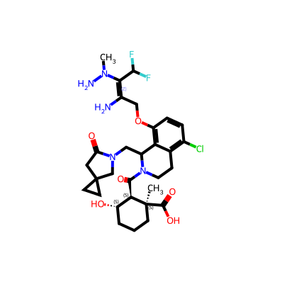 CN(N)/C(=C(\N)COc1ccc(Cl)c2c1C(CN1CC3(CC3)CC1=O)N(C(=O)[C@@H]1[C@@H](O)CCC[C@]1(C)C(=O)O)CC2)C(F)F